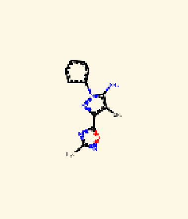 Cc1noc(-c2nn(-c3ccccc3)c(N)c2C)n1